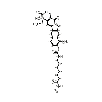 CC[C@@]1(O)C(=O)OCc2c1cc1n(c2=O)Cc2cc3c(N)c(OC(=O)NCCCCCCC(=O)NO)ccc3nc2-1